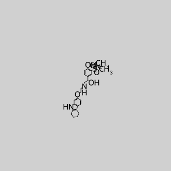 CN(C)S(=O)(=O)c1cc(C(O)CNCCOc2ccc3c4c([nH]c3c2)CCCC4)ccc1O